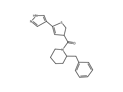 O=C(C1C=C(c2cn[nH]c2)SC1)N1CCCCC1Cc1ccccc1